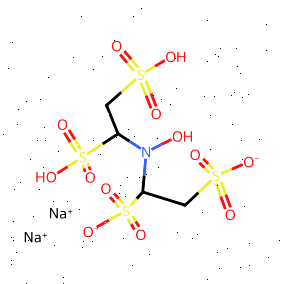 O=S(=O)([O-])CC(N(O)C(CS(=O)(=O)O)S(=O)(=O)O)S(=O)(=O)[O-].[Na+].[Na+]